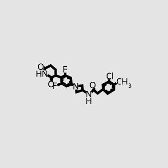 Cc1ccc(CC(=O)NC2CN(c3cc(F)c(C4CCC(=O)NC4=O)c(F)c3)C2)cc1Cl